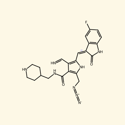 [N-]=[N+]=NCc1[nH]c(/C=C2\C(=O)Nc3ccc(F)cc32)c(C=N)c1C(=O)NCC1CCNCC1